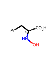 CC(C)C[C@H](NO)C(=O)O